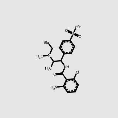 CCCS(=O)(=O)c1ccc(C(NC(=O)c2c(N)cccc2Cl)C(C)N(C)CC(C)CC)cc1